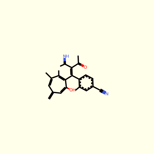 C=C1C=C(C)C(C)=C(/C(=C(\C(C)=N)C(C)=O)c2ccc(C#N)cc2C)C(O)=C1